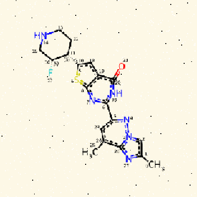 Cc1cn2nc(-c3nc4sc([C@H]5CCNC[C@H]5F)cc4c(=O)[nH]3)cc(C)c2n1